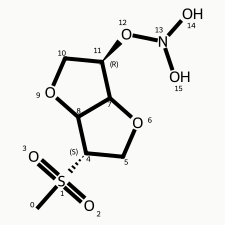 CS(=O)(=O)[C@H]1COC2C1OC[C@H]2ON(O)O